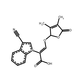 CC1=C(C)C(O/C=C(/C(=O)O)n2cc(C#N)c3ccccc32)OC1=O